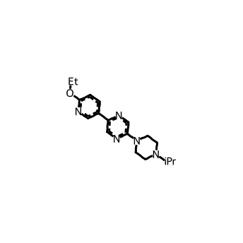 CCOc1ccc(-c2cnc(N3CCN(C(C)C)CC3)cn2)cn1